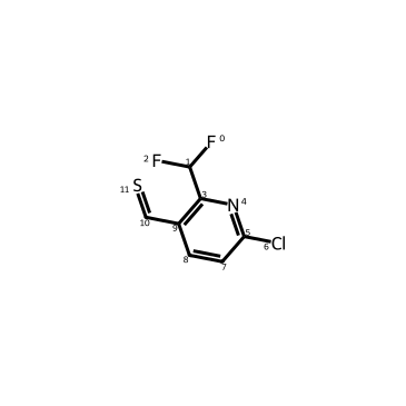 FC(F)c1nc(Cl)ccc1C=S